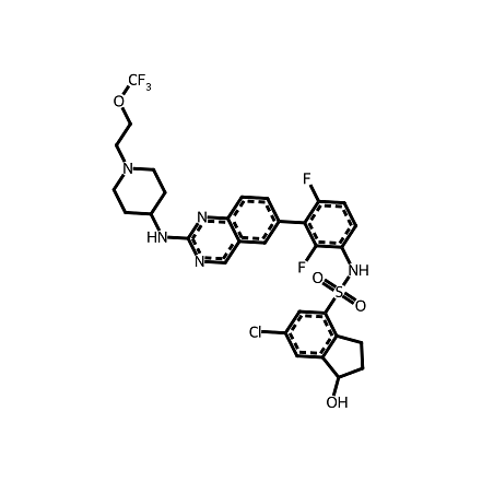 O=S(=O)(Nc1ccc(F)c(-c2ccc3nc(NC4CCN(CCOC(F)(F)F)CC4)ncc3c2)c1F)c1cc(Cl)cc2c1CCC2O